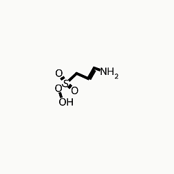 NC=CCS(=O)(=O)OO